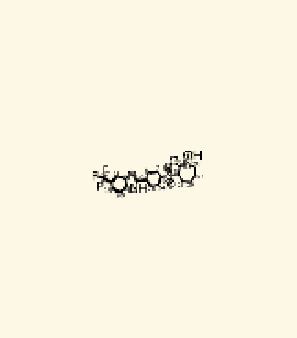 O=C1C(S(=O)(=O)c2ccc(-c3nc4cc(C(F)(F)F)ccc4[nH]3)cc2)CCCCN1O